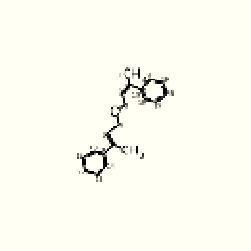 CC(=CCOCC=C(C)c1ccccc1)c1ccccc1